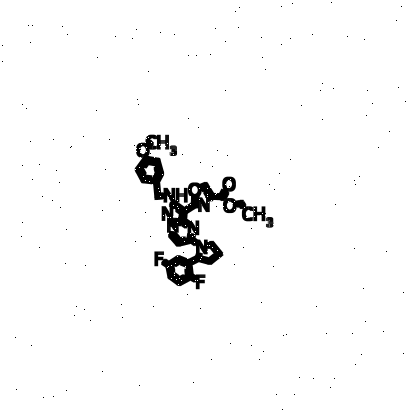 CCOC(=O)c1coc(-c2c(NCc3ccc(OC)cc3)nn3ccc(N4CCCC4c4cc(F)ccc4F)nc23)n1